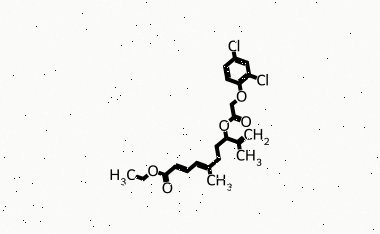 C=C(C)C(CCC(C)=CC=CC(=O)OCC)OC(=O)COc1ccc(Cl)cc1Cl